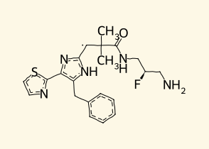 CC(C)([CH]c1nc(-c2nccs2)c(Cc2ccccc2)[nH]1)C(=O)NC[C@H](F)CN